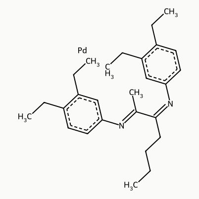 CCCCC(=Nc1ccc(CC)c(CC)c1)C(C)=Nc1ccc(CC)c(CC)c1.[Pd]